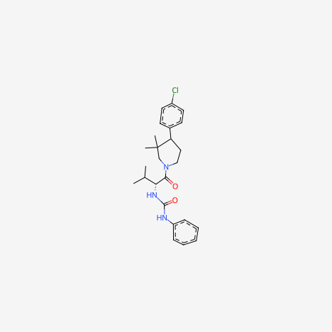 CC(C)[C@@H](NC(=O)Nc1ccccc1)C(=O)N1CCC(c2ccc(Cl)cc2)C(C)(C)C1